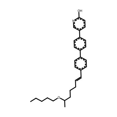 CCCCCOC(C)CCCC=Cc1ccc(-c2ccc(-c3ccc(O)nc3)cc2)cc1